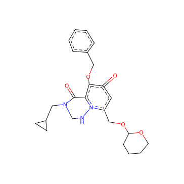 O=C1c2c(OCc3ccccc3)c(=O)cc(COC3CCCCO3)n2NCN1CC1CC1